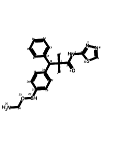 CC(C)(C(=O)Nc1nncs1)C(c1ccccc1)c1ccc(BOCN)cc1